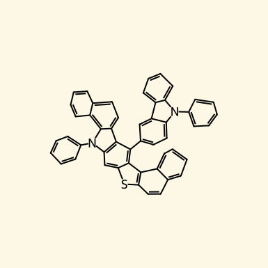 c1ccc(-n2c3ccccc3c3cc(-c4c5c(cc6c4c4ccc7ccccc7c4n6-c4ccccc4)sc4ccc6ccccc6c45)ccc32)cc1